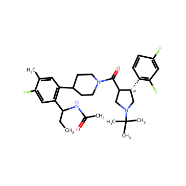 CCC(NC(C)=O)c1cc(F)c(C)cc1C1CCN(C(=O)C2CN(C(C)(C)C)C[C@H]2c2ccc(F)cc2F)CC1